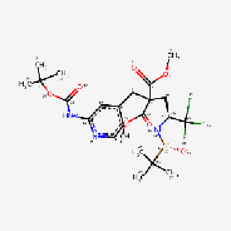 COC(=O)C(Cc1ccnc(NC(=O)OC(C)(C)C)c1)(C[C@H](N[S@+]([O-])C(C)(C)C)C(F)(F)F)C(=O)OC